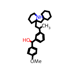 COc1ccc(C(O)c2cccc(C(C)CC3(CC4CCCCC4)CCCCN3)c2)cc1